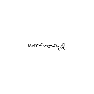 COCCOCCOCCOCC[Si](Cl)(Cl)Cl